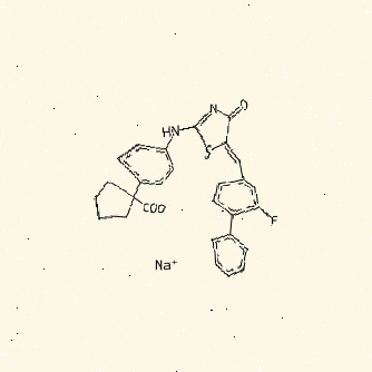 O=C1N=C(Nc2ccc(C3(C(=O)[O-])CCCC3)cc2)SC1=Cc1ccc(-c2ccccc2)c(F)c1.[Na+]